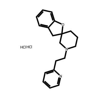 Cl.Cl.c1ccc(CCN2CCCC3(Cc4ccccc4O3)C2)nc1